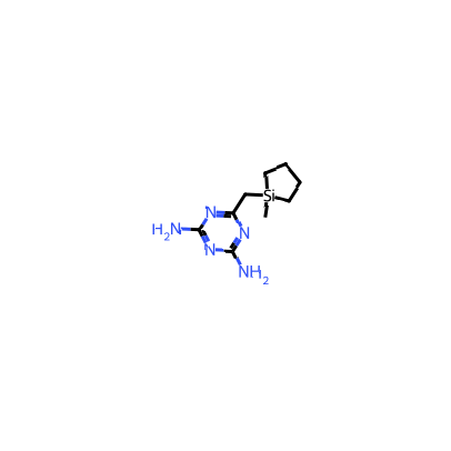 C[Si]1(Cc2nc(N)nc(N)n2)CCCC1